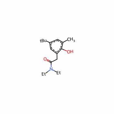 CCN(CC)C(=O)Cc1cc(C(C)(C)C)cc(C)c1O